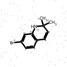 CC1(C)C=Cc2ccc(Br)cc2N1